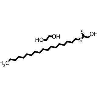 CCCCCCCCCCCCCCCCCCSC(=S)CO.OCCO